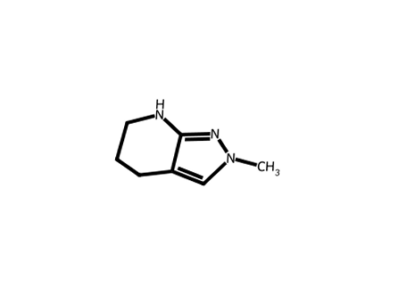 Cn1cc2c(n1)NCCC2